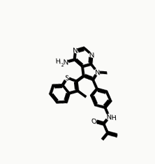 C=C(C)C(=O)Nc1ccc(-c2c(-c3sc4ccccc4c3C)c3c(N)ncnc3n2C)cc1